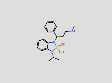 CNCCC(c1ccccc1)N1c2ccccc2N(C(C)C)S1(O)O